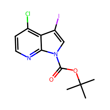 CC(C)(C)OC(=O)n1cc(I)c2c(Cl)ccnc21